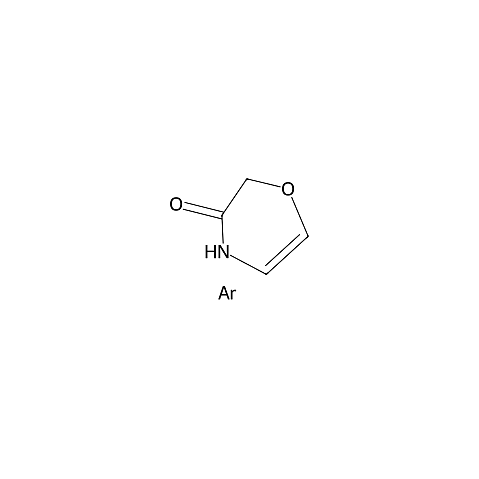 O=C1COC=CN1.[Ar]